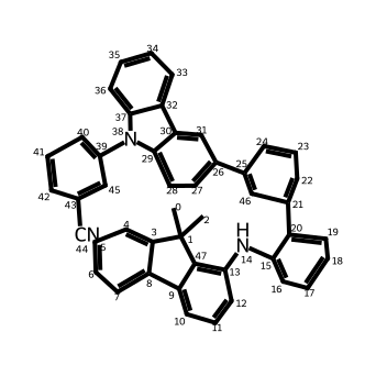 CC1(C)c2ccccc2-c2cccc(Nc3ccccc3-c3cccc(-c4ccc5c(c4)c4ccccc4n5-c4cccc(C#N)c4)c3)c21